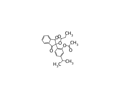 CCC(=O)OC1(c2ccc(C(C)C)cc2OC(C)=O)C(=O)c2ccccc2C1=O